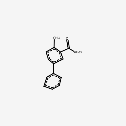 CCCCCCC(=O)c1cc(-c2ccccc2)ccc1C=O